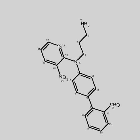 NCCCN(c1ccc(-c2ccccc2C=O)cc1)c1ncccc1[N+](=O)[O-]